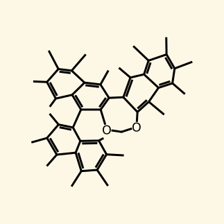 Cc1c(C)c(C)c2c(C)c3c(c(C)c2c1C)OCOc1c-3c(C)c2c(C)c(C)c(C)c(C)c2c1-c1c(C)c(C)c(C)c2c(C)c(C)c(C)c(C)c12